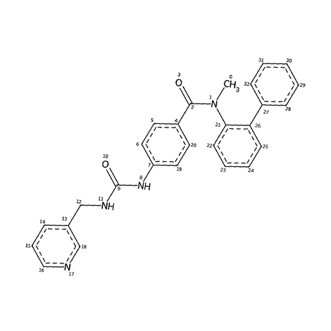 CN(C(=O)c1ccc(NC(=O)NCc2cccnc2)cc1)c1ccccc1-c1ccccc1